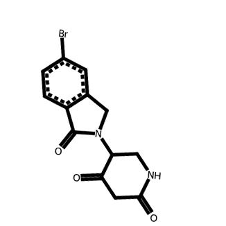 O=C1CC(=O)C(N2Cc3cc(Br)ccc3C2=O)CN1